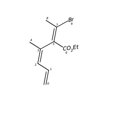 C=C/C=C(C)\C(C(=O)OCC)=C(/C)Br